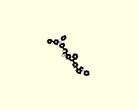 Cc1cc(-c2ccc(N(c3ccccc3)c3ccc(-c4ccccc4)cc3)cc2)ccc1-c1ccc(/C=C(\c2ccccc2)c2ccc(-c3cccc4c3ccn4-c3ccccc3)cc2)cc1